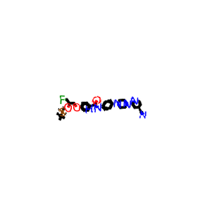 CC(C)(C)S(C)(C)COC(CF)COc1ccc(C(=O)Nc2ccc(N3CCN(c4cc(C#N)ccn4)CC3)cc2)cc1